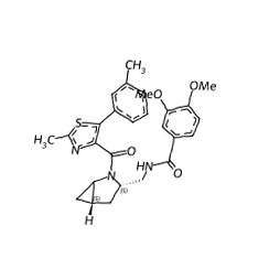 COc1ccc(C(=O)NC[C@@H]2C[C@@H]3CC3N2C(=O)c2nc(C)sc2-c2cccc(C)c2)cc1OC